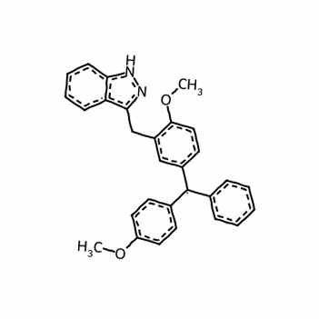 COc1ccc([C](c2ccccc2)c2ccc(OC)c(Cc3n[nH]c4ccccc34)c2)cc1